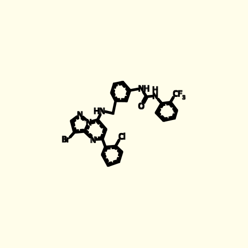 O=C(Nc1cccc(CNc2cc(-c3ccccc3Cl)nc3c(Br)cnn23)c1)Nc1ccccc1C(F)(F)F